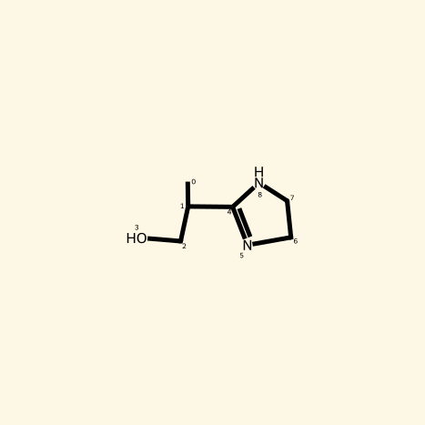 CC(CO)C1=NCCN1